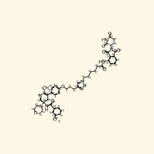 CC1=C(c2ccc(OCCCc3cn(CCCCCC(=O)Nc4cccc5c4C(=O)N(C4CCC(=O)NC4=O)C5=O)nn3)nc2)CC(NC(=O)c2cccc(C(F)(F)F)c2)(N2CCOCC2)C=N1